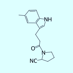 Cc1ccc2[nH]cc(CCC(=O)N3CCCC3C#N)c2c1